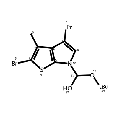 Cc1c(Br)sc2c1c(C(C)C)cn2C(O)OC(C)(C)C